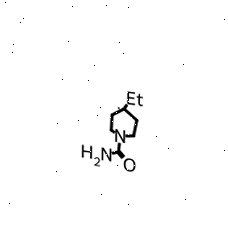 CC[C]1CCN(C(N)=O)CC1